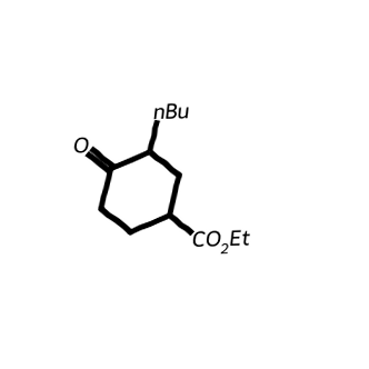 CCCCC1CC(C(=O)OCC)CCC1=O